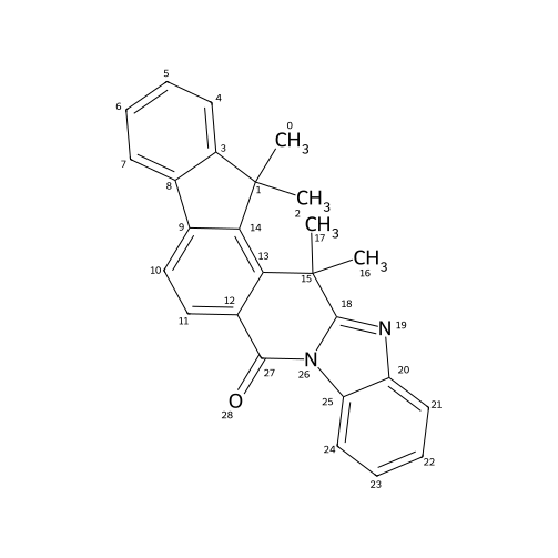 CC1(C)c2ccccc2-c2ccc3c(c21)C(C)(C)c1nc2ccccc2n1C3=O